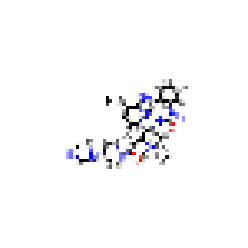 Cc1cc(C[C@@H](C(=O)N2CCC(N3CCNCC3)CC2)C2CC(N3CCc4ccccc4NC3=O)CCN2C(=O)O)cnc1N